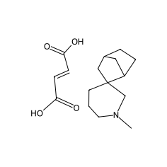 CN1CCCC2(CC3CCC2C3)C1.O=C(O)/C=C/C(=O)O